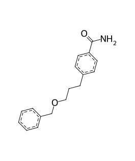 NC(=O)c1ccc(CCCOCc2ccccc2)cc1